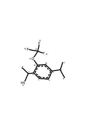 CC(C)c1ccc(C(C)S)c(OC(F)(F)F)c1